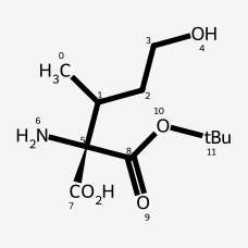 CC(CCO)[C@](N)(C(=O)O)C(=O)OC(C)(C)C